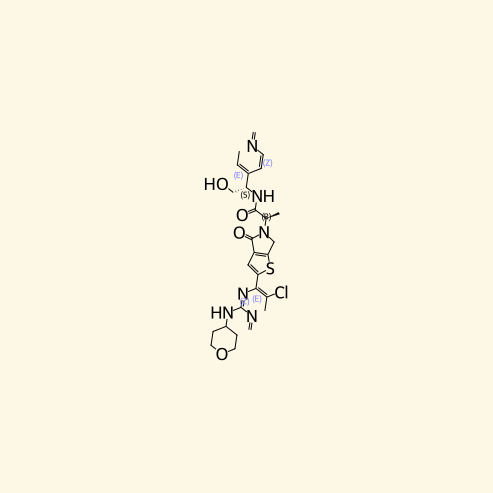 C=N/C=C\C(=C/C)[C@@H](CO)NC(=O)[C@@H](C)N1Cc2sc(C(/N=C(\N=C)NC3CCOCC3)=C(/C)Cl)cc2C1=O